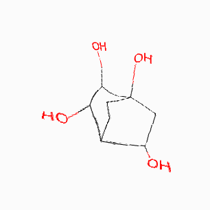 OC1CC2(O)CC1C(O)C2O